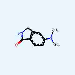 CN(C)c1ccc2c(c1)CNC2=O